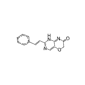 O=C1COC2=CN=C(/C=C/c3ccccc3)NC2=N1